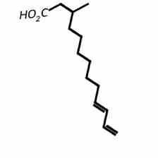 C=CC=CCCCCCCC(C)CC(=O)O